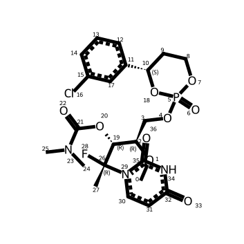 CO[C@H](COP1(=O)OCC[C@@H](c2cccc(Cl)c2)O1)[C@@H](OC(=O)N(C)C)[C@@](C)(F)n1ccc(=O)[nH]c1=O